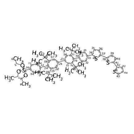 CCO[Si](OCC)(OCC)c1ccc(-c2c(C(C)(C)C)cc(-c3cc(C(C)(C)C)c(-c4ccc(-c5ccc(-c6ccc(-c7cccs7)s6)s5)cc4)c(C(C)(C)C)c3)cc2C(C)(C)C)cc1